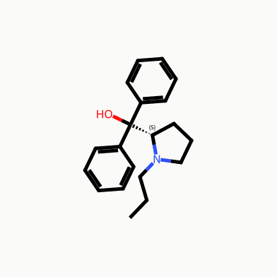 CCCN1CCC[C@H]1C(O)(c1ccccc1)c1ccccc1